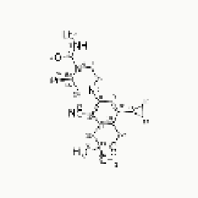 CCNC(=O)N1CCN(c2cc(C3CC3)c3c(c2C#N)CC(C)(C)OC3)C[C@H]1C(C)C